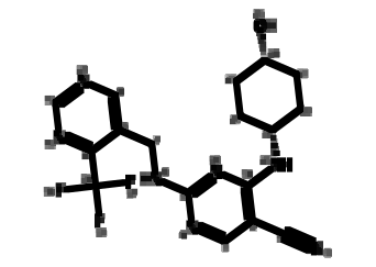 N#Cc1cnc(NCc2cncnc2C(F)(F)F)nc1N[C@H]1CC[C@@H](O)CC1